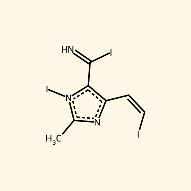 Cc1nc(/C=C\I)c(C(=N)I)n1I